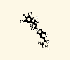 CNC(=O)c1cc2c(cn1)CN(C1=NOC(c3cc(Cl)c(F)c(Cl)c3)(C(F)(F)F)C1)C2